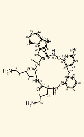 CN1C(=O)[C@H](CCCCN)NC(=O)[C@H](CCCN)NCc2cccnc2Sc2ccc(Br)nc2CNC(=O)[C@@H]1Cc1c[nH]c2ccccc12